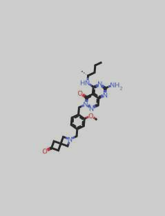 CCC[C@@H](C)Nc1nc(N)nc2cnn(Cc3ccc(CN4CC5(CC(=O)C5)C4)cc3OC)c(=O)c12